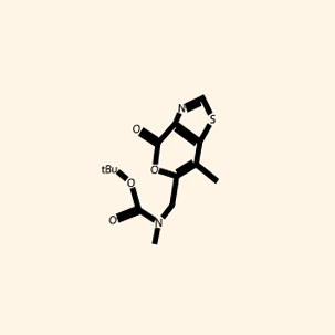 Cc1c(CN(C)C(=O)OC(C)(C)C)oc(=O)c2ncsc12